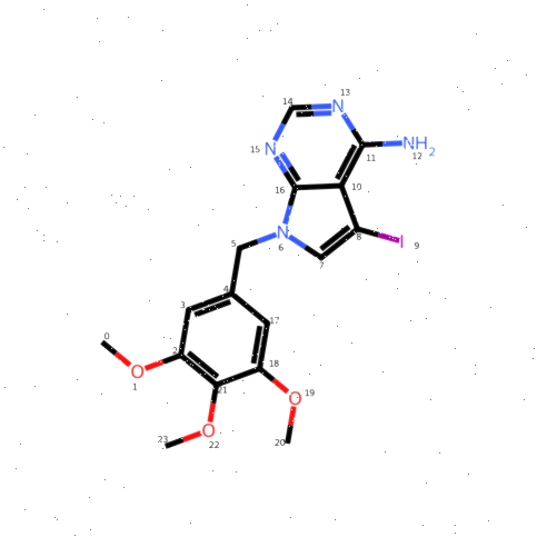 COc1cc(Cn2cc(I)c3c(N)ncnc32)cc(OC)c1OC